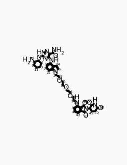 NC(=O)c1nnc(N[C@@H]2CCCC[C@@H]2N)nc1Nc1cccc2c1ccn2CCOCCOCCOCCNc1cccc2c1C(=O)N(C1CCC(=O)NC1=O)C2=O